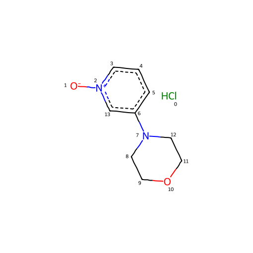 Cl.[O-][n+]1cccc(N2CCOCC2)c1